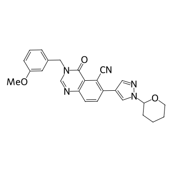 COc1cccc(Cn2cnc3ccc(-c4cnn(C5CCCCO5)c4)c(C#N)c3c2=O)c1